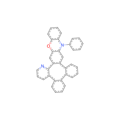 c1ccc(-n2c3ccccc3oc3cc4c(cc32)c2ccccc2c2ccccc2c2cccnc24)cc1